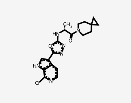 C[C@@H](Nc1nnc(-c2c[nH]c3c(Cl)nccc23)o1)C(=O)N1CCC2(CC1)CC2